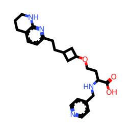 O=C(O)C(CCOC1CC(CCc2ccc3c(n2)NCCC3)C1)NCc1ccncc1